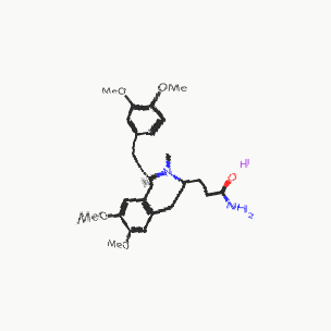 COc1ccc(C[C@@H]2c3cc(OC)c(OC)cc3CC(CCC(N)=O)N2C)cc1OC.I